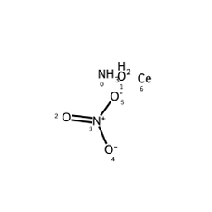 N.O.O=[N+]([O-])[O-].[Ce]